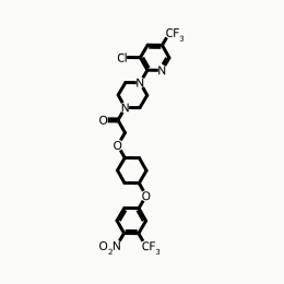 O=C(COC1CCC(Oc2ccc([N+](=O)[O-])c(C(F)(F)F)c2)CC1)N1CCN(c2ncc(C(F)(F)F)cc2Cl)CC1